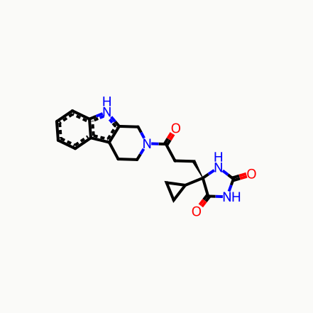 O=C1NC(=O)[C@](CCC(=O)N2CCc3c([nH]c4ccccc34)C2)(C2CC2)N1